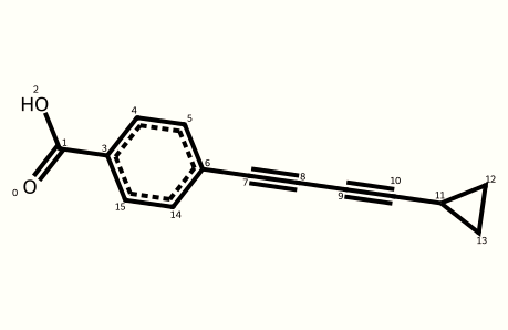 O=C(O)c1ccc(C#CC#CC2CC2)cc1